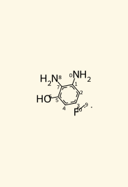 Nc1cccc(O)c1N.[C]F